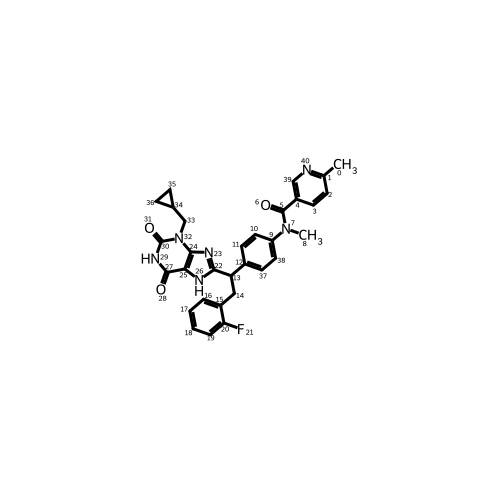 Cc1ccc(C(=O)N(C)c2ccc(C(Cc3ccccc3F)c3nc4c([nH]3)c(=O)[nH]c(=O)n4CC3CC3)cc2)cn1